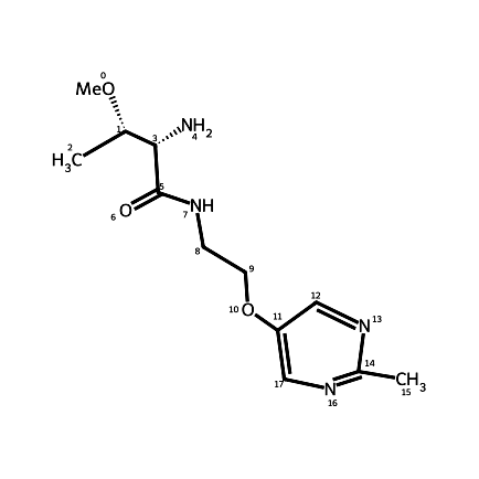 CO[C@@H](C)[C@H](N)C(=O)NCCOc1cnc(C)nc1